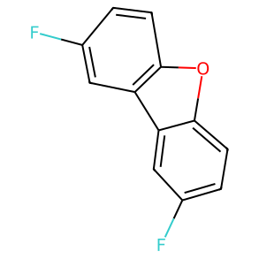 Fc1ccc2oc3ccc(F)cc3c2c1